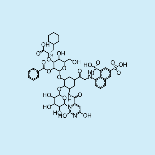 CC1OC(OC2C(NC(=O)c3cc(O)nc(O)n3)CC(C(=O)CNc3cccc4cc(S(=O)(=O)O)cc(S(=O)(=O)O)c34)CC2OC2OC(CO)C(O)C(O[C@@H](CC3CCCCC3)C(=O)O)C2OC(=O)c2ccccc2)C(O)C(O)C1O